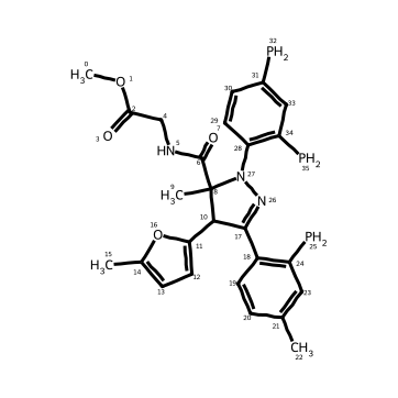 COC(=O)CNC(=O)C1(C)C(c2ccc(C)o2)C(c2ccc(C)cc2P)=NN1c1ccc(P)cc1P